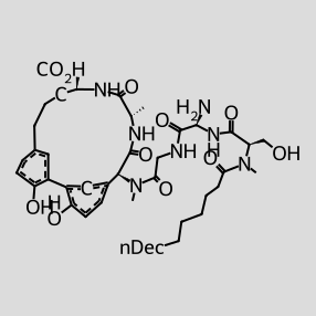 CCCCCCCCCCCCCCCC(=O)N(C)[C@H](CO)C(=O)N[C@H](N)C(=O)NCC(=O)N(C)[C@@H]1C(=O)N[C@@H](C)C(=O)N[C@H](C(=O)O)CCCc2ccc(O)c(c2)-c2cc1ccc2O